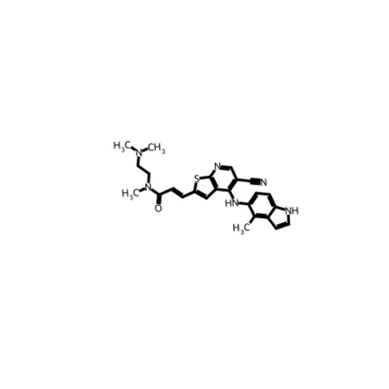 Cc1c(Nc2c(C#N)cnc3sc(/C=C/C(=O)N(C)CCN(C)C)cc23)ccc2[nH]ccc12